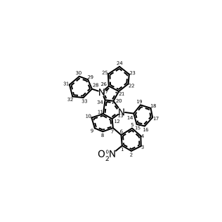 O=[N+]([O-])c1ccccc1-c1cccc2c1n(-c1ccccc1)c1c3ccccc3n(-c3ccccc3)c21